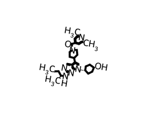 CCC[C@H](C)Nc1ncc2c(C3CCN(C(=O)c4cc(C)nc(C)c4)CC3)cn(C[C@H]3CC[C@H](O)CC3)c2n1